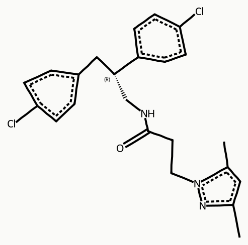 Cc1cc(C)n(CCC(=O)NC[C@H](Cc2ccc(Cl)cc2)c2ccc(Cl)cc2)n1